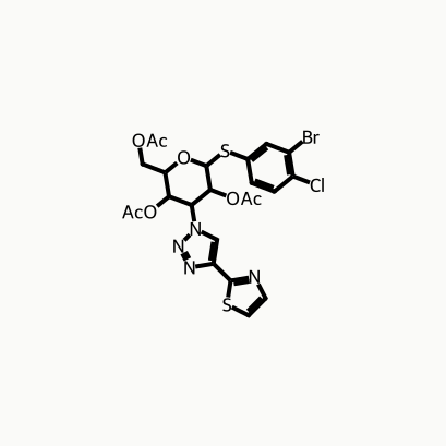 CC(=O)OCC1OC(Sc2ccc(Cl)c(Br)c2)C(OC(C)=O)C(n2cc(-c3nccs3)nn2)C1OC(C)=O